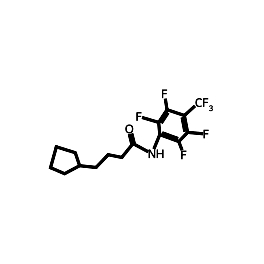 O=C(CCCC1CCCC1)Nc1c(F)c(F)c(C(F)(F)F)c(F)c1F